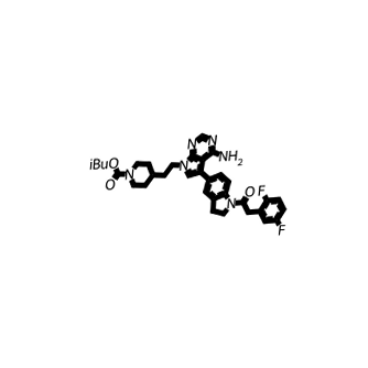 CC(C)COC(=O)N1CCC(CCn2cc(-c3ccc4c(c3)CCN4C(=O)Cc3cc(F)ccc3F)c3c(N)ncnc32)CC1